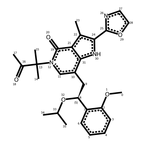 COc1ccccc1[C@H](Cc1cn(C(C)(C)C(C)=O)c(=O)c2c(C)c(-c3ncco3)[nH]c12)OC(C)C